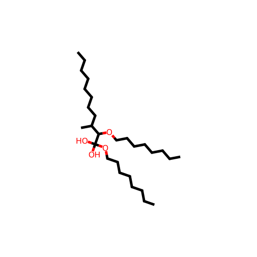 CCCCCCCCOC(C(C)CCCCCCCC)C(O)(O)OCCCCCCCC